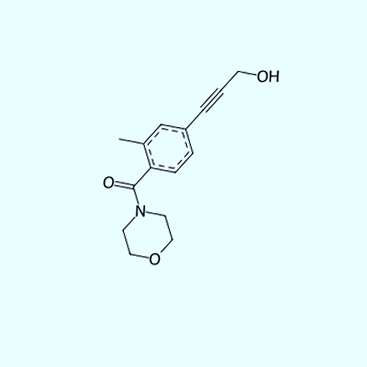 Cc1cc(C#CCO)ccc1C(=O)N1CCOCC1